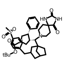 CC(C)(C)OC(=O)N1C[C@H](c2ccccc2)[C@H](C(N2CCC3(CC2)NC(=O)NC3=O)C23CCC(CC(Cc4ccc(S(C)(=O)=O)cc4)C2)C3)C1